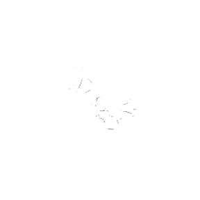 CC(=O)OOc1ccc(C(=O)Nc2nc3cccc(-c4ccoc4)n3n2)cc1C(C)(C)C